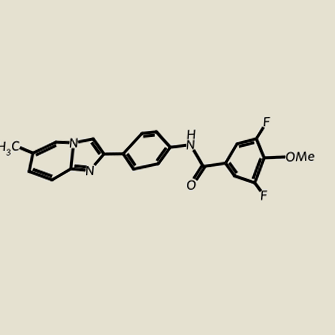 COc1c(F)cc(C(=O)Nc2ccc(-c3cn4cc(C)ccc4n3)cc2)cc1F